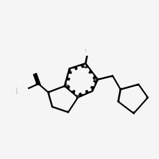 O=C(O)C1CCc2cc(CC3CCCC3)c(Cl)cc21